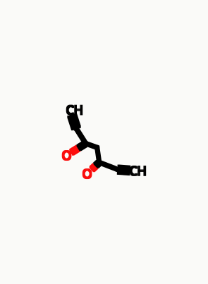 C#CC(=O)CC(=O)C#C